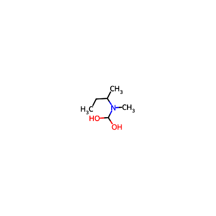 CCC(C)N(C)C(O)O